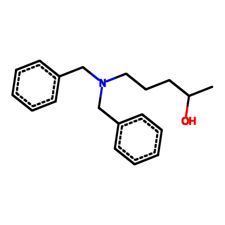 CC(O)CCCN(Cc1ccccc1)Cc1ccccc1